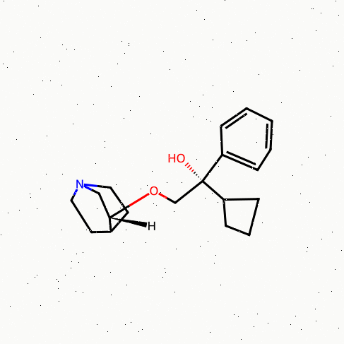 O[C@](CO[C@H]1CN2CCC1CC2)(c1ccccc1)C1CCC1